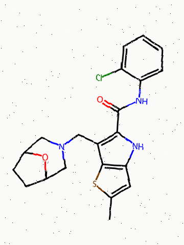 Cc1cc2[nH]c(C(=O)Nc3ccccc3Cl)c(CN3CC4CCC(C3)O4)c2s1